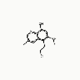 CNc1cc(O)c2ncc(C)cc2c1CCCl